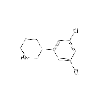 Clc1cc(Cl)cc(C2CCCNC2)c1